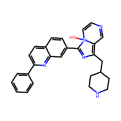 O[N+]12C=CN=CC1=C(CC1CCNCC1)N=C2c1ccc2ccc(-c3ccccc3)nc2c1